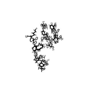 CCCCCC(C)OC(=O)COc1ccc(Cl)c2cccnc12.COC(=O)c1ccc(CNS(C)(=O)=O)cc1S(=O)(=O)NC(=O)Nc1nc(OC)cc(OC)n1.COc1ncc(F)c2nc(S(=O)(=O)Nc3c(F)cccc3F)nn12.Cc1nn(C)c(O)c1C(=O)c1ccc(C(F)(F)F)cc1S(C)(=O)=O